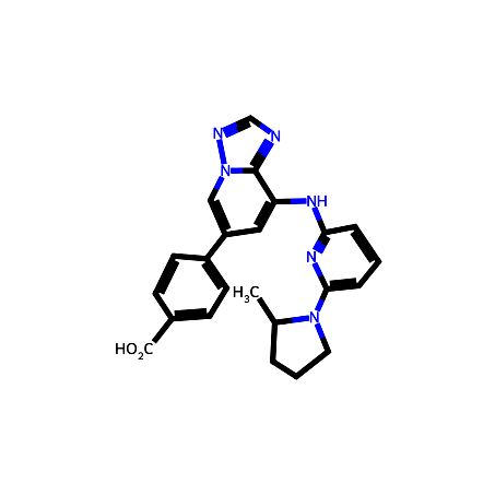 CC1CCCN1c1cccc(Nc2cc(-c3ccc(C(=O)O)cc3)cn3ncnc23)n1